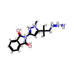 Cn1nc(N2C(=O)c3ccccc3C2=O)cc1C(C)(C)CN=[N+]=[N-]